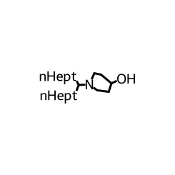 CCCCCCCC(CCCCCCC)N1CCC(O)CC1